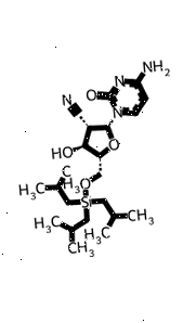 CC(C)C[Si](CC(C)C)(CC(C)C)OC[C@H]1O[C@@H](n2ccc(N)nc2=O)[C@@H](C#N)[C@@H]1O